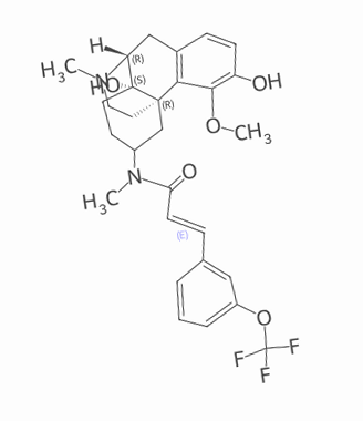 COc1c(O)ccc2c1[C@]13CCN(C)[C@H](C2)[C@]1(O)CCC(N(C)C(=O)/C=C/c1cccc(OC(F)(F)F)c1)C3